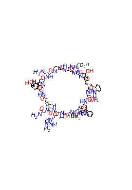 CCCC[C@H]1C(=O)N(C)[C@@H](CCCC)C(=O)N[C@@H](CCCNC(=N)N)C(=O)N[C@H](C(=O)NCC(N)=O)CSCC(=O)N[C@@H](Cc2ccc(O)cc2)C(=O)N(C)[C@@H](C)C(=O)N[C@@H](CCN)C(=O)N2CCC[C@H]2C(=O)N[C@@H](CN)C(=O)N[C@@H](CCC(=O)O)C(=O)N2C[C@H](O)C[C@H]2C(=O)C[C@@H](Cc2c[nH]c3ccccc23)C(=O)N[C@@H](CO)C(=O)N[C@@H](Cc2c[nH]c3ccccc23)C(=O)N1C